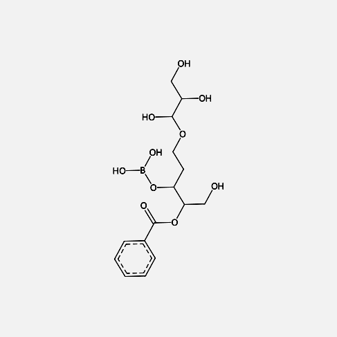 O=C(OC(CO)C(CCOC(O)C(O)CO)OB(O)O)c1ccccc1